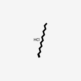 C=CCCCCCCCCCCC.Cl